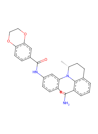 Cc1ccc(NC(=O)c2ccc3c(c2)OCCO3)cc1N1c2c(cccc2C(N)=O)CC[C@H]1C